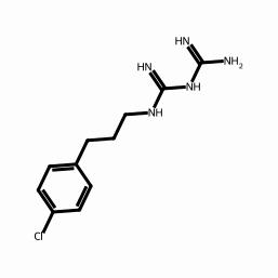 N=C(N)NC(=N)NCCCc1ccc(Cl)cc1